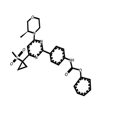 C[C@H]1COCCN1c1cc(C2(S(C)(=O)=O)CC2)nc(-c2ccc(NC(=O)Oc3ccccc3)cc2)n1